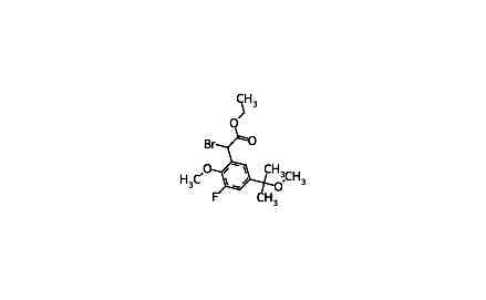 CCOC(=O)C(Br)c1cc(C(C)(C)OC)cc(F)c1OC